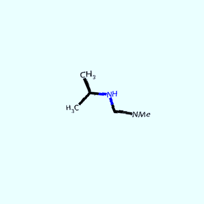 CNCNC(C)C